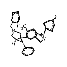 Cc1cc2c(cnn2-c2ccc(F)cc2)cc1[C@]12CN(Cc3ccccc3)C[C@H]1[C@@H]2c1ccccc1